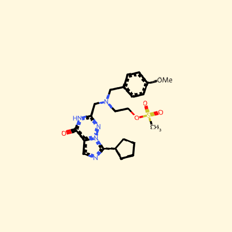 COc1ccc(CN(CCOS(C)(=O)=O)Cc2nn3c(C4CCCC4)ncc3c(=O)[nH]2)cc1